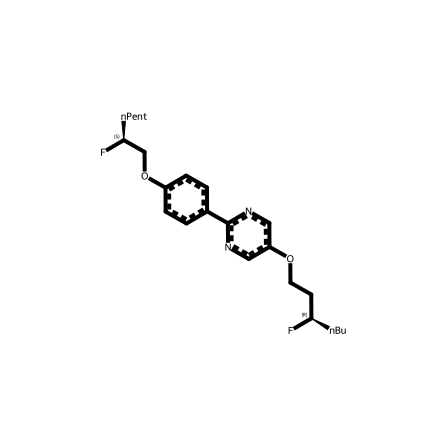 CCCCC[C@H](F)COc1ccc(-c2ncc(OCC[C@H](F)CCCC)cn2)cc1